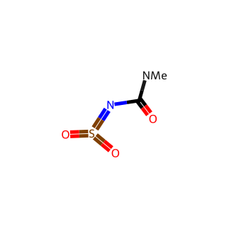 CNC(=O)N=S(=O)=O